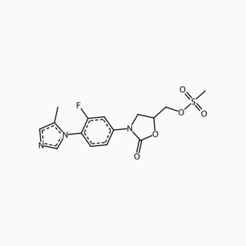 Cc1cncn1-c1ccc(N2CC(COS(C)(=O)=O)OC2=O)cc1F